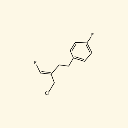 F/C=C(/CCl)CCc1ccc(F)cc1